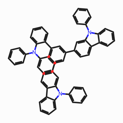 c1ccc(N(c2ccccc2)c2ccccc2-c2cc(-c3ccc4c5ccccc5n(-c5ccccc5)c4c3)cc(-c3ccc4c5ccccc5n(-c5ccccc5)c4c3)c2)cc1